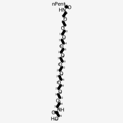 CCCCCC(=O)NCCOCCOCCOCCOCCOCCOCCOCCOCCOCCOCCNC(=O)CO